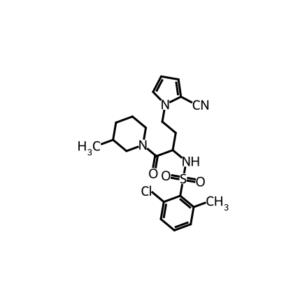 Cc1cccc(Cl)c1S(=O)(=O)NC(CCn1cccc1C#N)C(=O)N1CCCC(C)C1